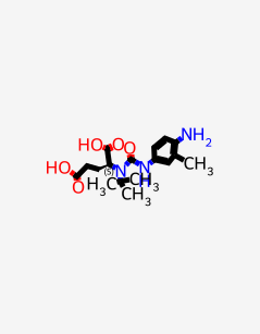 Cc1cc(NC(=O)N([C@@H](CCC(=O)O)C(=O)O)C(C)(C)C)ccc1N